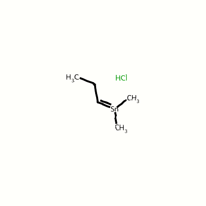 CC[CH]=[Sn]([CH3])[CH3].Cl